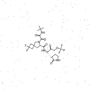 CC(C)(C)NC(=O)C(=O)N1CC2(CC1C(=O)N[C@@H](C[C@@H]1CCNC1=O)C(=O)COC(F)(F)F)CC(F)(F)C2